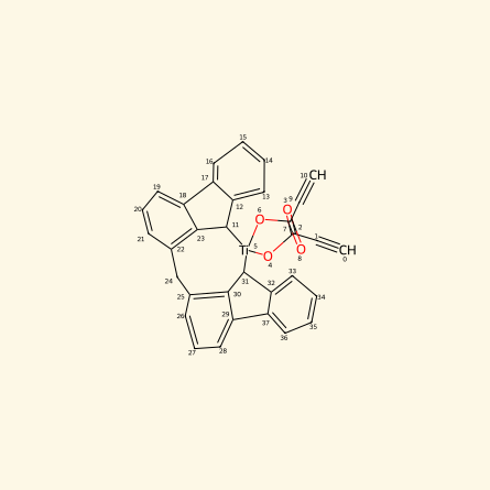 C#CC(=O)[O][Ti]1([O]C(=O)C#C)[CH]2c3ccccc3-c3cccc(c32)Cc2cccc3c2[CH]1c1ccccc1-3